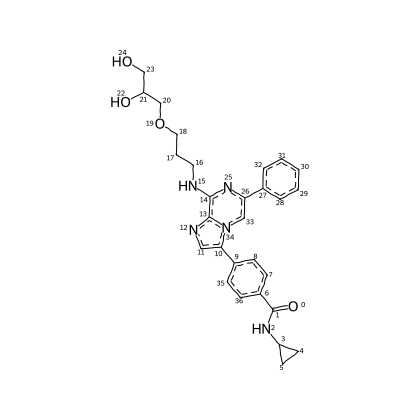 O=C(NC1CC1)c1ccc(-c2cnc3c(NCCCOCC(O)CO)nc(-c4ccccc4)cn23)cc1